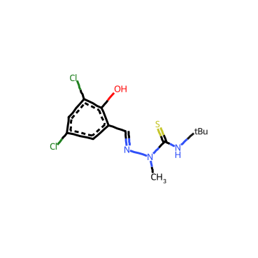 CN(/N=C/c1cc(Cl)cc(Cl)c1O)C(=S)NC(C)(C)C